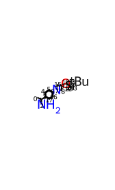 CC(N)c1ccc(N2CC(O[Si](C)(C)C(C)(C)C)C2)cc1